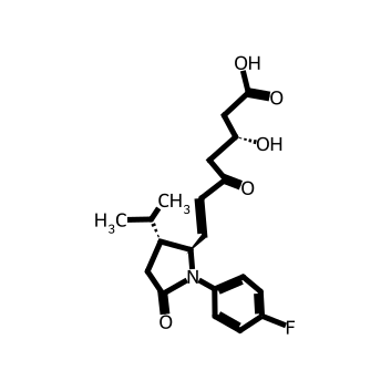 CC(C)[C@H]1CC(=O)N(c2ccc(F)cc2)[C@@H]1/C=C/C(=O)C[C@@H](O)CC(=O)O